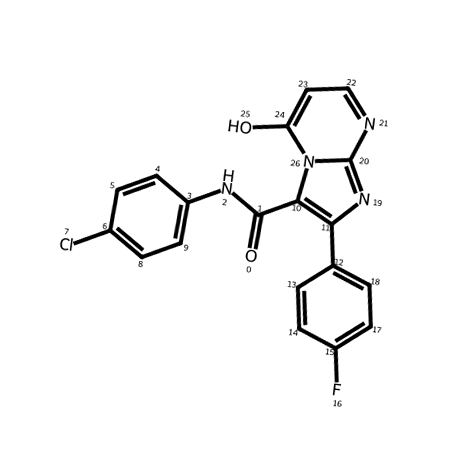 O=C(Nc1ccc(Cl)cc1)c1c(-c2ccc(F)cc2)nc2nccc(O)n12